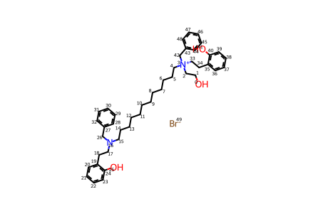 OCC[N+](CCCCCCCCCCCCN(CCc1ccccc1O)Cc1ccccc1)(CCc1ccccc1O)Cc1ccccc1.[Br-]